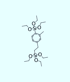 CCO[Si](CCc1ccc([Si](OCC)(OCC)OCC)c(C)c1)(OCC)OCC